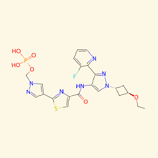 CCO[C@H]1C[C@H](n2cc(NC(=O)c3csc(-c4cnn(COP(=O)(O)O)c4)n3)c(-c3ncccc3F)n2)C1